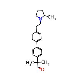 CC1CCCN1CCc1ccc(-c2ccc(C(C)(C)C=O)cc2)cc1